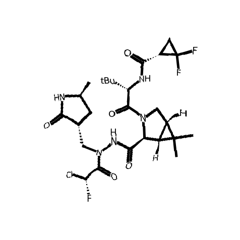 C[C@H]1C[C@H](CN(NC(=O)[C@@H]2[C@@H]3[C@H](CN2C(=O)[C@@H](NC(=O)[C@@H]2CC2(F)F)C(C)(C)C)C3(C)C)C(=O)[C@H](F)Cl)C(=O)N1